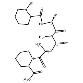 COC(=O)C1CCCCN1C(=O)/C(C)=C/[C@H](C(C)C)N(C)C(=O)[C@@H](NC(=O)C1CCCCN1C(C)C)C(C)C